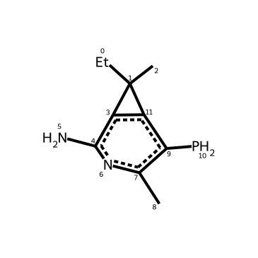 CCC1(C)c2c(N)nc(C)c(P)c21